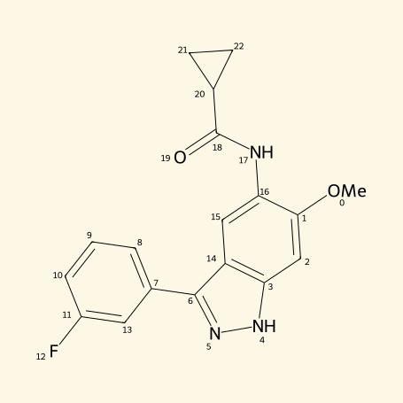 COc1cc2[nH]nc(-c3cccc(F)c3)c2cc1NC(=O)C1CC1